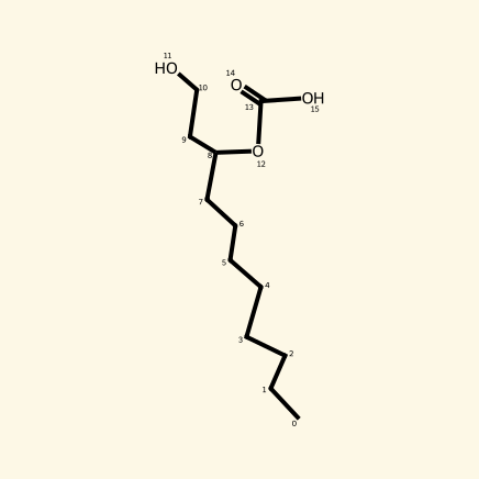 CCCCCCCCC(CCO)OC(=O)O